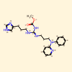 COC(=O)NC(=NCCCN(c1ccccc1)c1ccccn1)NCCCc1c[nH]cn1